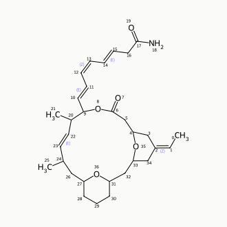 C/C=C1\CC2CC(=O)OC(/C=C/C=C\C=C\CC(N)=O)C(C)/C=C/C(C)CC3CCCC(CC(C1)O2)O3